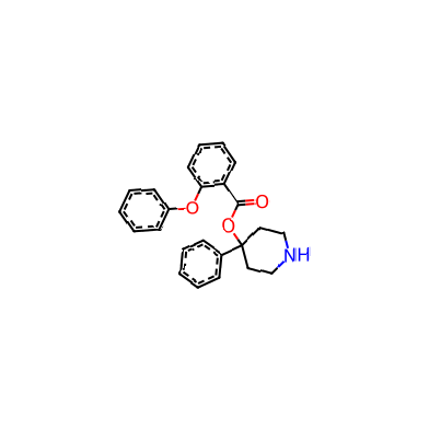 O=C(OC1(c2ccccc2)CCNCC1)c1ccccc1Oc1ccccc1